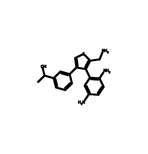 CC(O)c1cccc(-c2csc(CN)c2-c2cc(N)ccc2N)c1